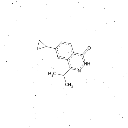 CC(C)c1n[nH]c(=O)c2ccc(C3CC3)nc12